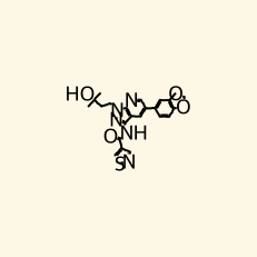 CC(C)(O)CCn1nc(NC(=O)c2cnsc2)c2cc(-c3ccc4c(c3)OCO4)cnc21